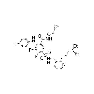 CCN(CC)CCCc1ncccc1CNS(=O)(=O)c1cc(C(=O)NOCC2CC2)c(Nc2ccc(I)cc2)c(F)c1F